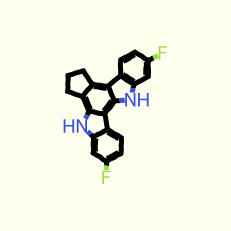 Fc1ccc2c(c1)[nH]c1c2c2c(c3[nH]c4cc(F)ccc4c31)CCC2